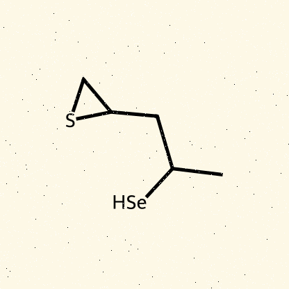 CC([SeH])CC1CS1